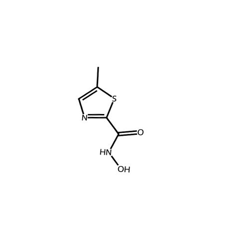 Cc1cnc(C(=O)NO)s1